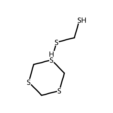 SCS[SH]1CSCSC1